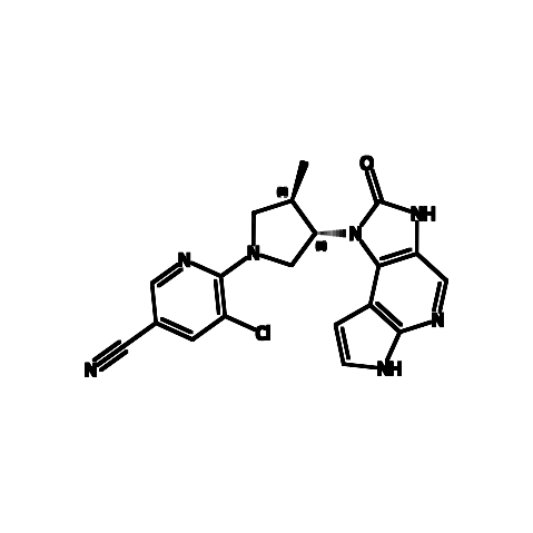 C[C@@H]1CN(c2ncc(C#N)cc2Cl)C[C@H]1n1c(=O)[nH]c2cnc3[nH]ccc3c21